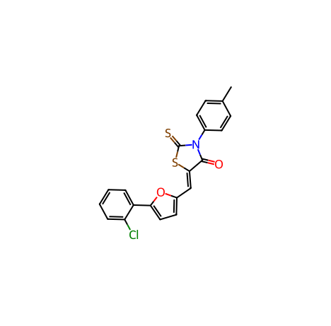 Cc1ccc(N2C(=O)C(=Cc3ccc(-c4ccccc4Cl)o3)SC2=S)cc1